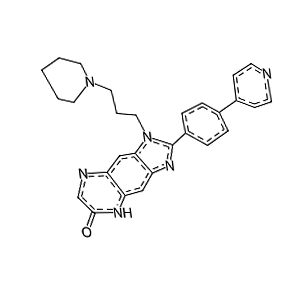 O=c1cnc2cc3c(cc2[nH]1)nc(-c1ccc(-c2ccncc2)cc1)n3CCCN1CCCCC1